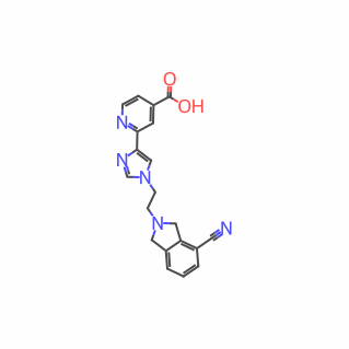 N#Cc1cccc2c1CN(CCn1cnc(-c3cc(C(=O)O)ccn3)c1)C2